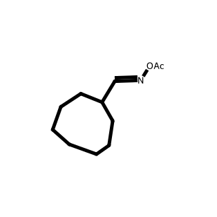 CC(=O)ON=CC1CCCCCCC1